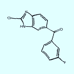 O=C(c1cccc(F)c1)c1ccc2nc(Cl)[nH]c2c1